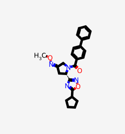 CON=C1C[C@@H](c2noc(C3CCCC3)n2)N(C(=O)c2ccc(-c3ccccc3)cc2)C1